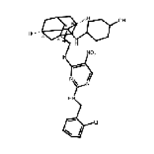 O=[N+]([O-])c1cnc(NCc2ccccc2Cl)nc1NC[C@]12CC3C[C@H](C1)[C@@H](NC1CCC(O)CC1)[C@@H](C3)C2